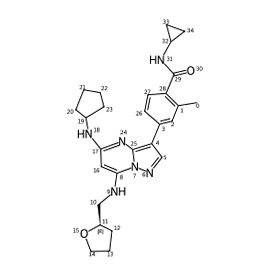 Cc1cc(-c2cnn3c(NC[C@H]4CCCO4)cc(NC4CCCC4)nc23)ccc1C(=O)NC1CC1